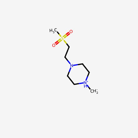 [CH2-][NH+]1CCN(CCS(C)(=O)=O)CC1